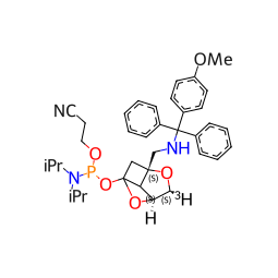 [3H][C@@H]1O[C@@]2(CNC(c3ccccc3)(c3ccccc3)c3ccc(OC)cc3)CC3(OP(OCCC#N)N(C(C)C)C(C)C)O[C@H]1C32